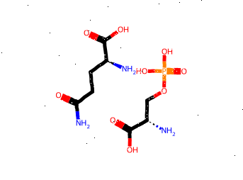 NC(=O)CC[C@H](N)C(=O)O.N[C@@H](COP(=O)(O)O)C(=O)O